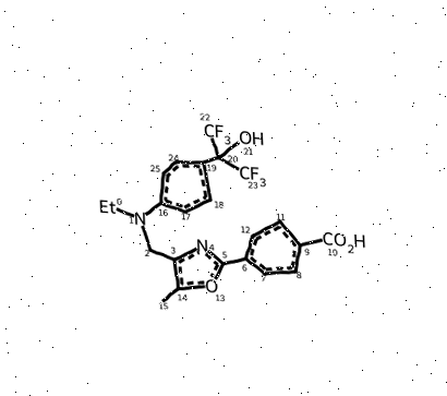 CCN(Cc1nc(-c2ccc(C(=O)O)cc2)oc1C)c1ccc(C(O)(C(F)(F)F)C(F)(F)F)cc1